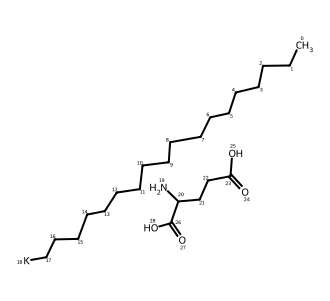 CCCCCCCCCCCCCCCCC[CH2][K].NC(CCC(=O)O)C(=O)O